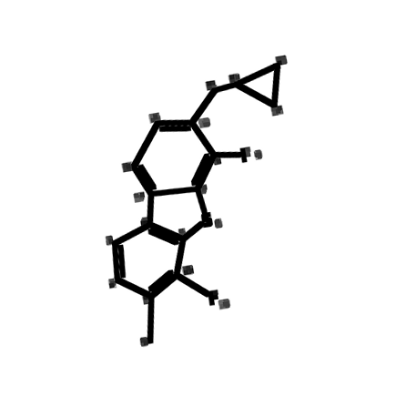 Cc1ccc2c(sc3c(F)c(CC4CC4)ccc32)c1F